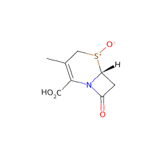 CC1=C(C(=O)O)N2C(=O)C[C@H]2[S+]([O-])C1